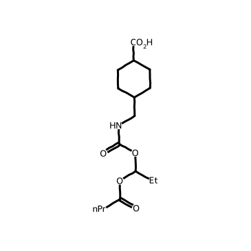 CCCC(=O)OC(CC)OC(=O)NCC1CCC(C(=O)O)CC1